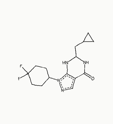 O=C1NC(CC2CC2)Nc2c1cnn2C1CCC(F)(F)CC1